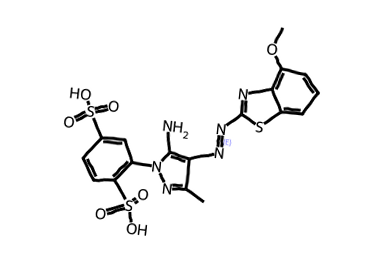 COc1cccc2sc(/N=N/c3c(C)nn(-c4cc(S(=O)(=O)O)ccc4S(=O)(=O)O)c3N)nc12